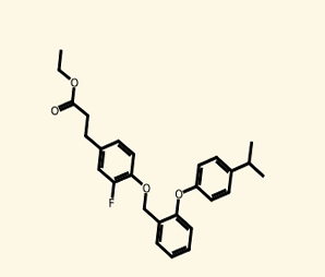 CCOC(=O)CCc1ccc(OCc2ccccc2Oc2ccc(C(C)C)cc2)c(F)c1